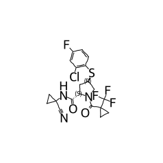 N#CC1(NC(=O)[C@@H]2C[C@@H](Sc3ccc(F)cc3Cl)CN2C(=O)C2(C(F)(F)F)CC2)CC1